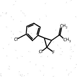 C=C(C)C1C(c2cccc(Cl)c2)C1(F)Cl